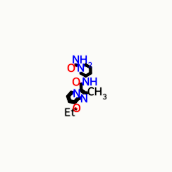 CCOc1cccn2c(C(=O)N[C@H]3CCCN(C(N)=O)C3)c(C)nc12